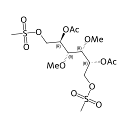 CO[C@@H]([C@H](OC)[C@@H](COS(C)(=O)=O)OC(C)=O)[C@@H](COS(C)(=O)=O)OC(C)=O